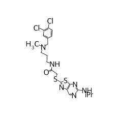 CC(C)Nc1ncc2nc(SCC(=O)NCCCN(C)Cc3ccc(Cl)c(Cl)c3)sc2n1